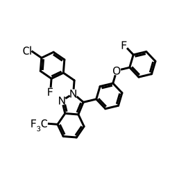 Fc1cc(Cl)ccc1Cn1nc2c(C(F)(F)F)cccc2c1-c1cccc(Oc2ccccc2F)c1